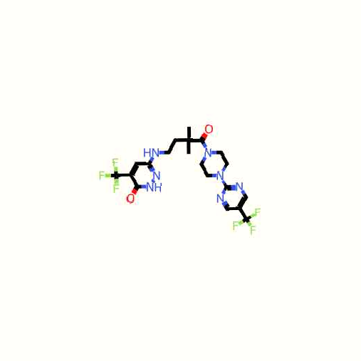 CC(C)(CCNc1cc(C(F)(F)F)c(=O)[nH]n1)C(=O)N1CCN(c2ncc(C(F)(F)F)cn2)CC1